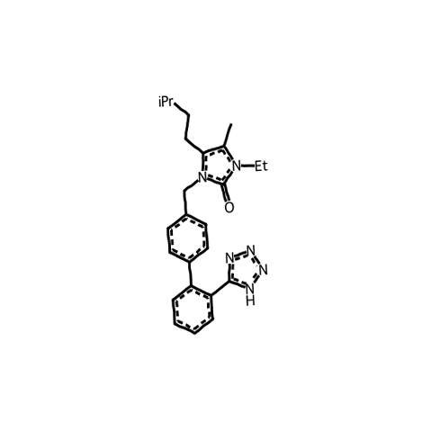 CCn1c(C)c(CCC(C)C)n(Cc2ccc(-c3ccccc3-c3nnn[nH]3)cc2)c1=O